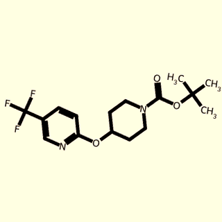 CC(C)(C)OC(=O)N1CCC(Oc2ccc(C(F)(F)F)cn2)CC1